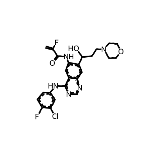 C=C(F)C(=O)Nc1cc2c(Nc3ccc(F)c(Cl)c3)ncnc2cc1C(O)CCN1CCOCC1